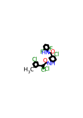 Cc1cc(Cl)cc(C2C(C(=O)Nc3ccc(Cl)c(C(=O)Nc4c(F)cccc4F)c3)C2(Cl)Cl)c1